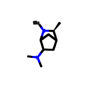 C[C@@H]1C2CC(N(C)C)C(C2)N1C(C)(C)C